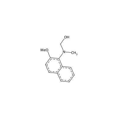 COc1ccc2ccccc2c1N(C)CO